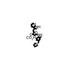 Cc1cc(CN2CCCC2)ccc1NC1=C(C(=O)O)C(=O)C(=Cc2c[nH]c3ncccc23)O1